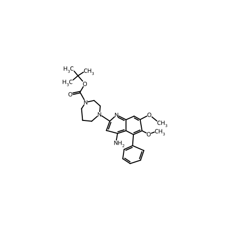 COc1cc2nc(N3CCCN(C(=O)OC(C)(C)C)CC3)cc(N)c2c(-c2ccccc2)c1OC